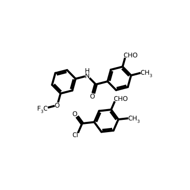 Cc1ccc(C(=O)Cl)cc1C=O.Cc1ccc(C(=O)Nc2cccc(OC(F)(F)F)c2)cc1C=O